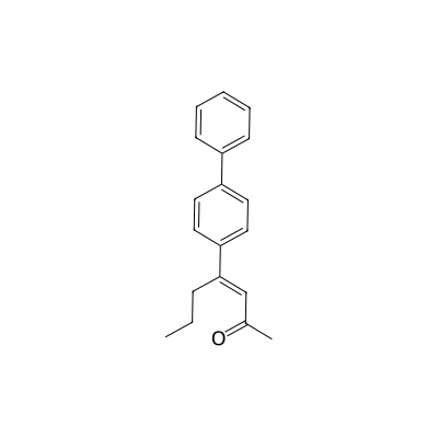 CCCC(=CC(C)=O)c1ccc(-c2ccccc2)cc1